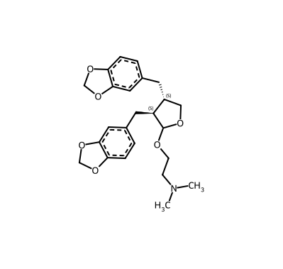 CN(C)CCOC1OC[C@@H](Cc2ccc3c(c2)OCO3)[C@@H]1Cc1ccc2c(c1)OCO2